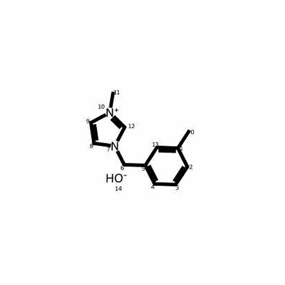 Cc1cccc(Cn2cc[n+](C)c2)c1.[OH-]